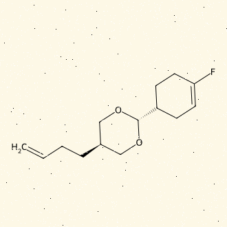 C=CCC[C@H]1CO[C@H](C2CC=C(F)CC2)OC1